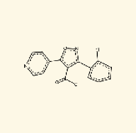 O=C(Cl)c1c(-c2ccccc2Cl)noc1-c1ccncc1